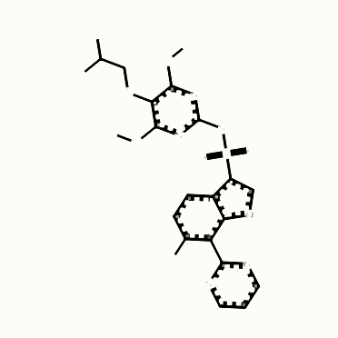 COc1nc(NS(=O)(=O)c2c[nH]c3c(-c4ncccn4)c(F)ccc23)nc(OC)c1OCC(F)F